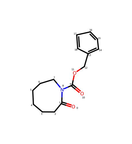 O=C1CCCCCCN1C(=O)OCc1ccccc1